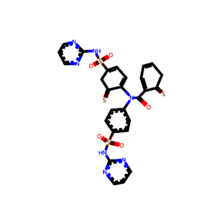 O=C(C1=CC=CCC1=S)N(C1=CC=C(S(=O)(=O)Nc2ncccn2)CC1=S)c1ccc(S(=O)(=O)Nc2ncccn2)cc1